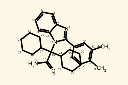 Cc1ccc(-c2nc3ccccc3n2C(C(N)=O)(C2CCCCC2)C2CCCCC2)cc1C